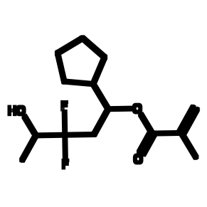 C=C(C)C(=O)OC(CC(F)(F)C(C)O)C1CCCC1